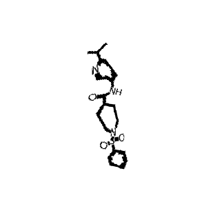 CC(C)c1ccc(NC(=O)C2CCN(S(=O)(=O)c3ccccc3)CC2)cn1